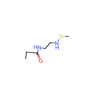 CCC(=O)NCCNSC